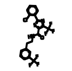 O=C(NCCc1cccc(C(F)(F)F)c1)c1sc(-c2ccccc2Cl)nc1C(F)(F)F